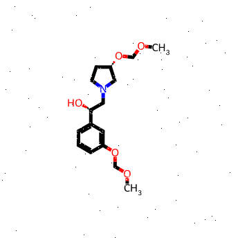 COCOc1cccc([C@@H](O)CN2CC[C@H](OCOC)C2)c1